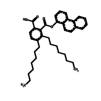 CCCCCCCCc1ccc(C(=O)O)c(C(=O)Oc2cccc3c2ccc2ccccc23)c1CCCCCCCC